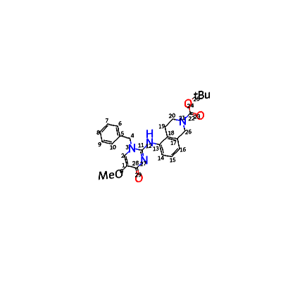 COc1cn(Cc2ccccc2)c(Nc2cccc3c2CCN(C(=O)OC(C)(C)C)C3)nc1=O